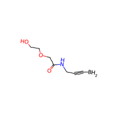 BC#CCNC(=O)COCCO